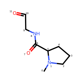 CN1CCCC1C(=O)NCC=O